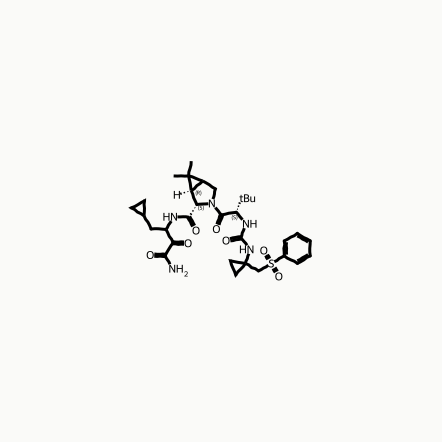 CC(C)(C)[C@H](NC(=O)NC1(CS(=O)(=O)c2ccccc2)CC1)C(=O)N1CC2[C@@H]([C@H]1C(=O)NC(CC1CC1)C(=O)C(N)=O)C2(C)C